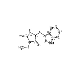 CCN1C(=O)C(Cc2c[nH]c3ccccc23)NC1=S